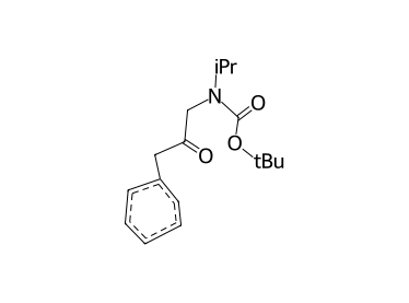 CC(C)N(CC(=O)Cc1ccccc1)C(=O)OC(C)(C)C